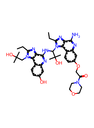 CCc1nc2c(NC(n3c(CC)nc4c(N)nc5cc(OCC(=O)N6CCOCC6)ccc5c43)C(C)(C)O)nc3cc(O)ccc3c2n1CC(C)(C)O